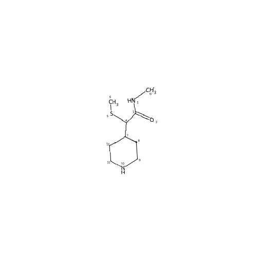 CNC(=O)C(SC)C1CCNCC1